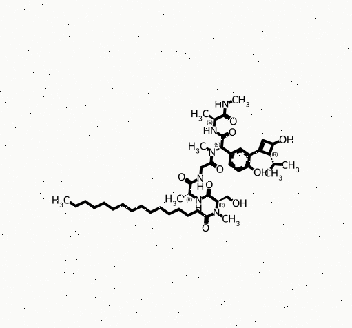 CCCCCCCCCCCCCCCC(=O)N(C)[C@H](CO)C(=O)N[C@H](C)C(=O)NCC(=O)N(C)[C@H](C(=O)N[C@@H](C)C(=O)NC)c1ccc(O)c(C2=CC(O)[C@@H]2C(C)C)c1